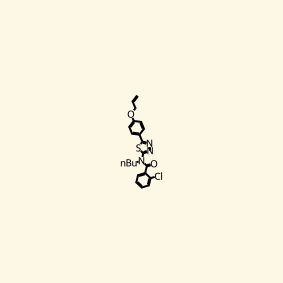 C=CCOc1ccc(-c2nnc(N(CCCC)C(=O)c3ccccc3Cl)s2)cc1